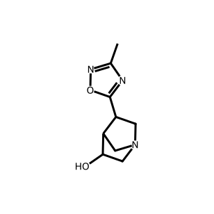 Cc1noc(C2CN3CC(O)C2C3)n1